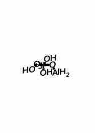 OO[Si](O)(O)[O][AlH2]